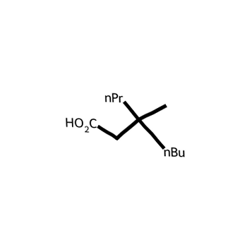 CCCCC(C)(CCC)CC(=O)O